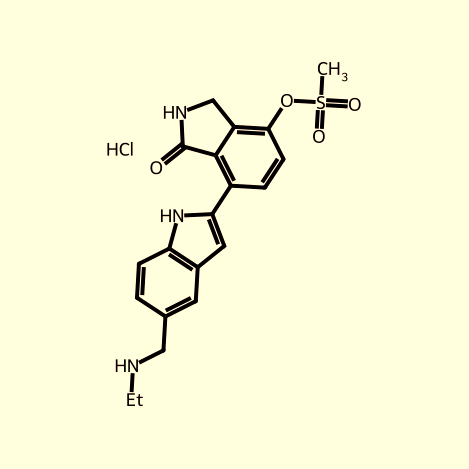 CCNCc1ccc2[nH]c(-c3ccc(OS(C)(=O)=O)c4c3C(=O)NC4)cc2c1.Cl